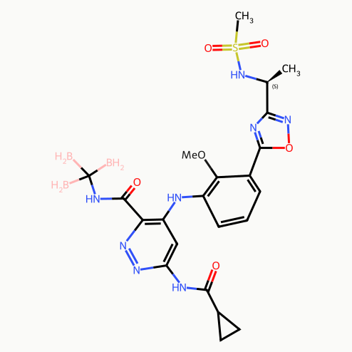 BC(B)(B)NC(=O)c1nnc(NC(=O)C2CC2)cc1Nc1cccc(-c2nc([C@H](C)NS(C)(=O)=O)no2)c1OC